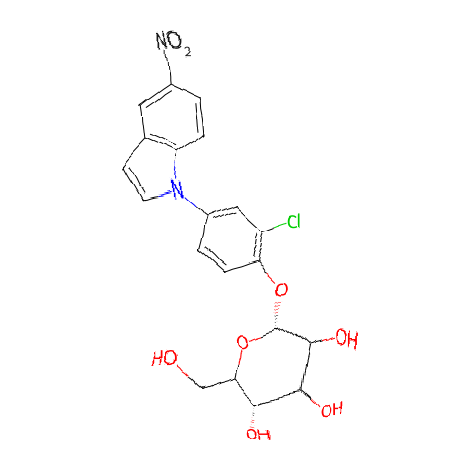 O=[N+]([O-])c1ccc2c(ccn2-c2ccc(O[C@H]3OC(CO)[C@@H](O)C(O)C3O)c(Cl)c2)c1